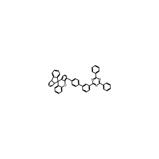 C1=CC2c3ccccc3C3(c4ccccc4Oc4c(-c5ccc(-c6cccc(-c7nc(-c8ccccc8)nc(-c8ccccc8)n7)c6)cc5)cccc43)C2C=C1